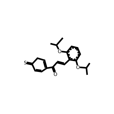 CC(C)Oc1cccc(OC(C)C)c1C=CC(=O)C1=CCC(=S)C=C1